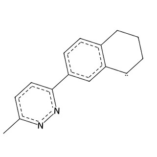 Cc1ccc(-c2ccc3c(c2)[C]CCC3)nn1